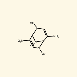 CC(=O)N1C=C([N+](=O)[O-])C2N(C(C)=O)C=C([N+](=O)[O-])C1N2C(C)=O